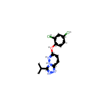 CC(C)c1nnc2ccc(Oc3ccc(Cl)cc3Cl)nn12